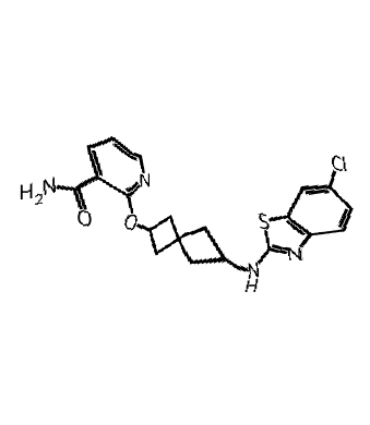 NC(=O)c1cccnc1OC1CC2(CC(Nc3nc4ccc(Cl)cc4s3)C2)C1